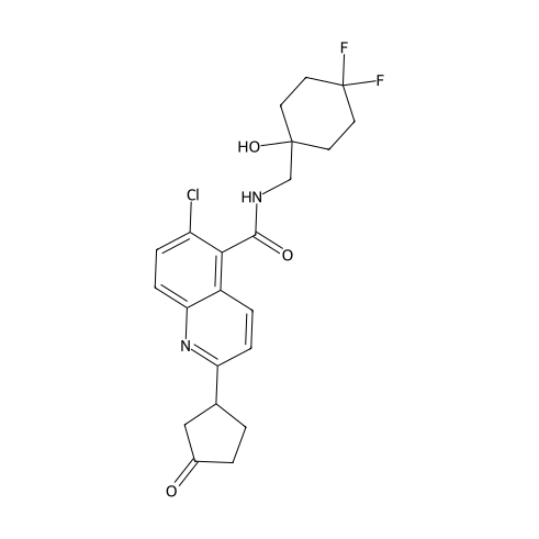 O=C1CCC(c2ccc3c(C(=O)NCC4(O)CCC(F)(F)CC4)c(Cl)ccc3n2)C1